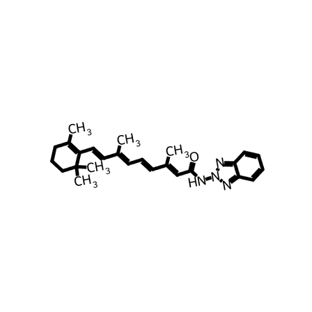 CC1=C(/C=C/C(C)=C/C=C/C(C)=C/C(=O)Nn2nc3ccccc3n2)C(C)(C)CCC1